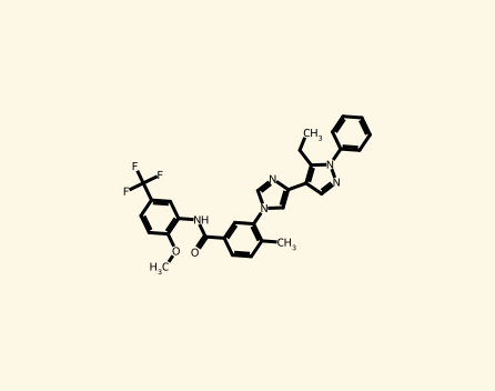 CCc1c(-c2cn(-c3cc(C(=O)Nc4cc(C(F)(F)F)ccc4OC)ccc3C)cn2)cnn1-c1ccccc1